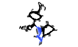 C=C(c1ccc(C)cc1)n1nnc2ccccc21